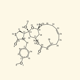 COc1ccc(CN2C(=O)SC[C@H]2[C@@]2(OC)C[C@H]3C[C@@H](CCC/C=C\CC/C(C)=C/C(=O)O3)O2)cc1